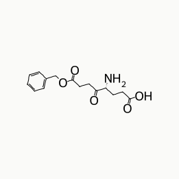 N[C@H](CCC(=O)O)C(=O)CCC(=O)OCc1ccccc1